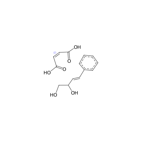 O=C(O)/C=C\C(=O)O.OCC(O)C=Cc1ccccc1